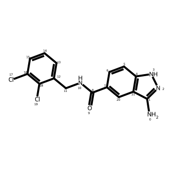 Nc1n[nH]c2ccc(C(=O)NCc3cccc(Cl)c3Cl)cc12